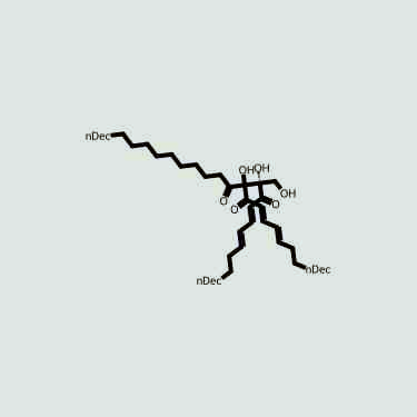 CCCCCCCCCCCCC=CC=CC(=O)C(O)(C(=O)CCCCCCCCCCCCCCCCCCC)[C@@](O)(CO)C(=O)C=CC=CCCCCCCCCCCCC